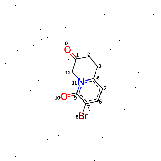 O=C1CCc2ccc(Br)c(=O)n2C1